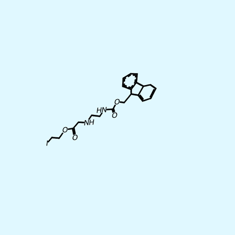 O=C(CNCCNC(=O)OCC1C2=CC=CCC2c2ccccc21)OCCI